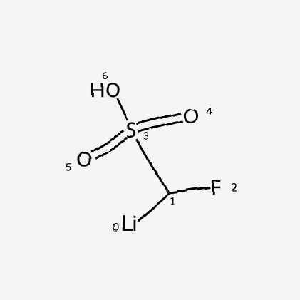 [Li][CH](F)S(=O)(=O)O